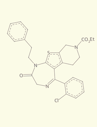 CCOC(=O)N1CCc2c(sc3c2C(c2ccccc2Cl)=NCC(=O)N3CCc2ccccc2)C1